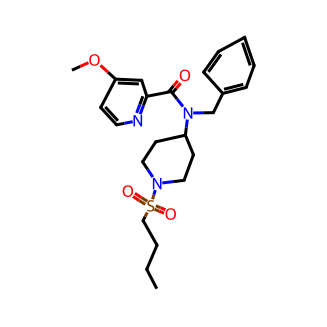 CCCCS(=O)(=O)N1CCC(N(Cc2ccccc2)C(=O)c2cc(OC)ccn2)CC1